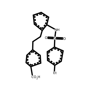 CCc1ccc(S(=O)(=O)Nc2ccccc2CCc2ccc(C(=O)O)cc2)cc1